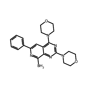 Bc1nc(-c2ccccc2)cc2c(N3CCOCC3)nc(N3CCOCC3)nc12